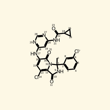 CC1(c2cccc(Cl)c2)NC(=O)c2c(Cl)cc(Nc3cc(NC(=O)C4CC4)ncn3)c(=O)n21